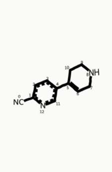 N#Cc1ccc(C2=CCNCC2)cn1